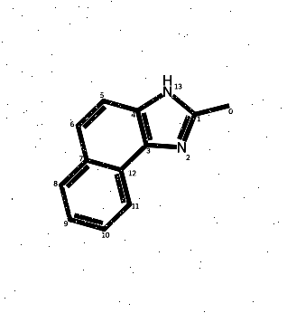 Cc1nc2c(ccc3ccccc32)[nH]1